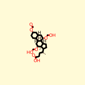 C[C@H](CCC(=O)O)C1CC[C@H]2[C@@H]3[C@H](OCO)C[C@@H]4C[C@H](OC=O)CC[C@]4(C)[C@H]3C[C@H](OCO)[C@]12C